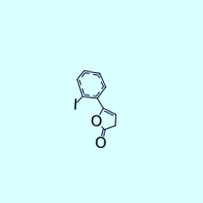 O=C1CC=C(c2ccccc2I)O1